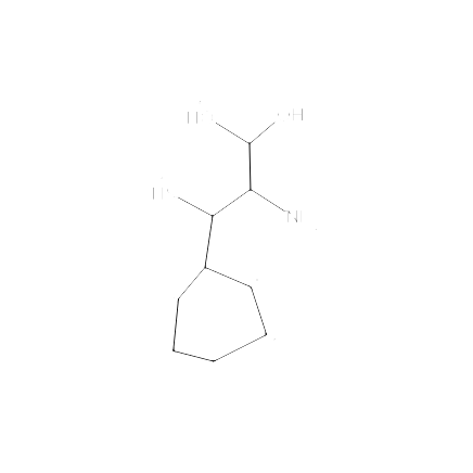 NC(C(O)O)C(S)C1CCCCC1